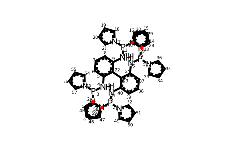 C1=CN(P(Nc2cccc(NP(n3cccc3)n3cccc3)c2-c2c(NP(n3cccc3)n3cccc3)cccc2NP(n2cccc2)n2cccc2)n2cccc2)CC1